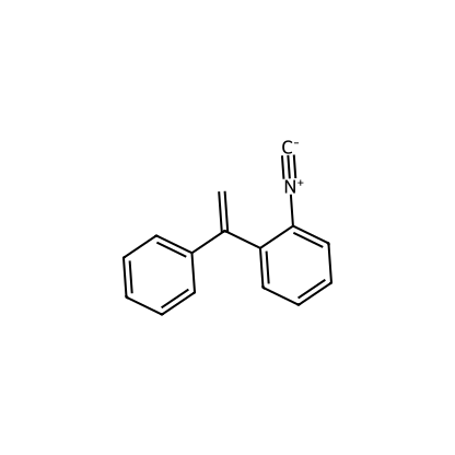 [C-]#[N+]c1ccccc1C(=C)c1ccccc1